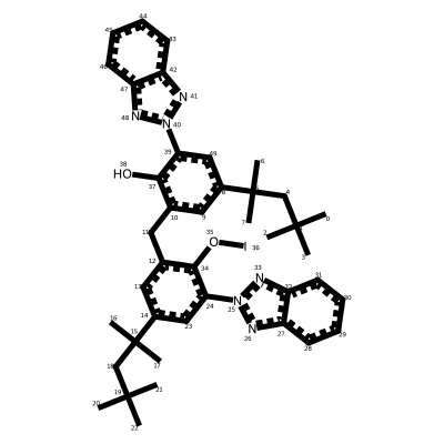 CC(C)(C)CC(C)(C)c1cc(Cc2cc(C(C)(C)CC(C)(C)C)cc(-n3nc4ccccc4n3)c2OI)c(O)c(-n2nc3ccccc3n2)c1